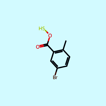 Cc1ccc(Br)cc1C(=O)OS